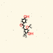 CC(C)Oc1cc(O)c(C(C)C)cc1C=CC(=O)c1ccc(O)cc1